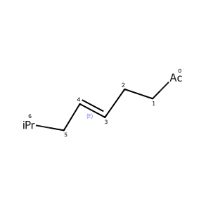 CC(=O)CC/C=C/CC(C)C